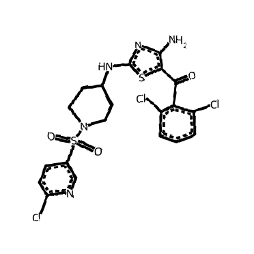 Nc1nc(NC2CCN(S(=O)(=O)c3ccc(Cl)nc3)CC2)sc1C(=O)c1c(Cl)cccc1Cl